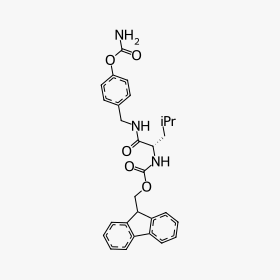 CC(C)C[C@H](NC(=O)OCC1c2ccccc2-c2ccccc21)C(=O)NCc1ccc(OC(N)=O)cc1